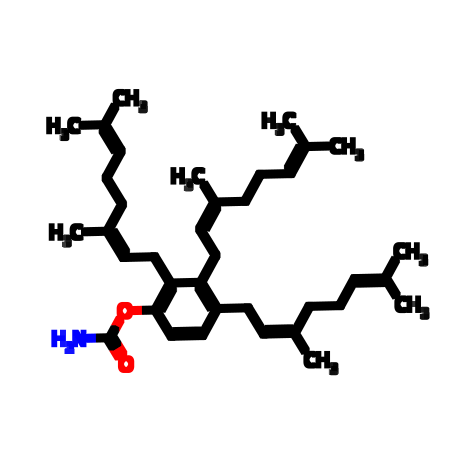 CC(C)=CCC/C(C)=C\Cc1ccc(OC(N)=O)c(C/C=C(/C)CCC=C(C)C)c1C/C=C(/C)CCC=C(C)C